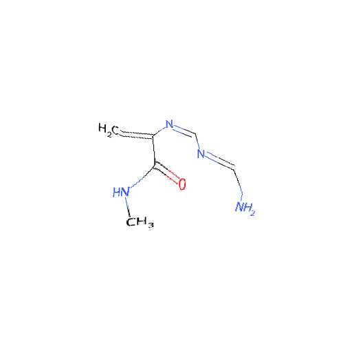 C=C(/N=C\N=C\N)C(=O)NC